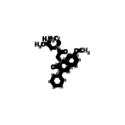 CCN(CC(C)C)C(=O)Cn1c(=O)c(C2CCCCC2)cc2ccc(OC)cc21